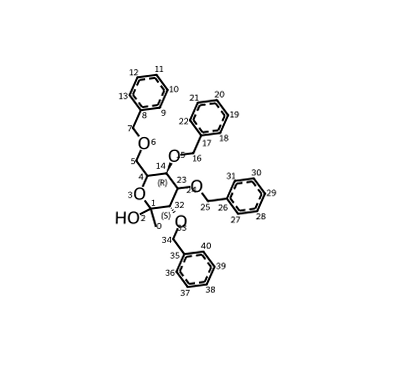 CC1(O)OC(COCc2ccccc2)[C@@H](OCc2ccccc2)C(OCc2ccccc2)[C@@H]1OCc1ccccc1